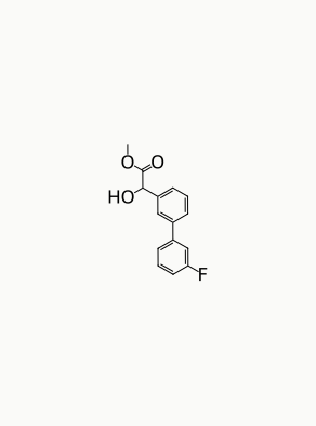 COC(=O)C(O)c1cccc(-c2cccc(F)c2)c1